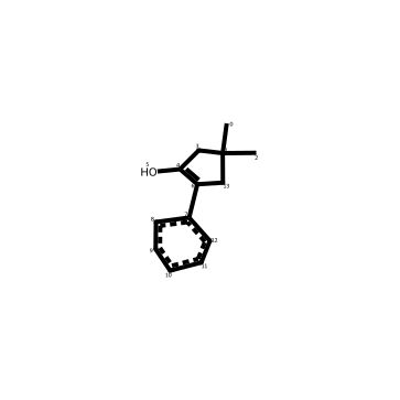 CC1(C)CC(O)=C(c2ccccc2)C1